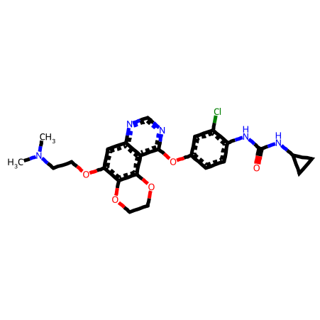 CN(C)CCOc1cc2ncnc(Oc3ccc(NC(=O)NC4CC4)c(Cl)c3)c2c2c1OCCO2